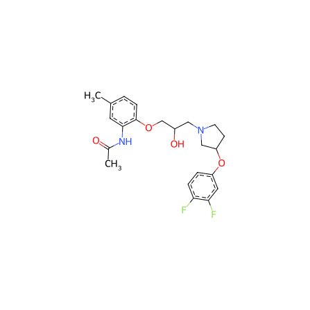 CC(=O)Nc1cc(C)ccc1OCC(O)CN1CCC(Oc2ccc(F)c(F)c2)C1